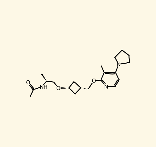 CC(=O)N[C@@H](C)CO[C@H]1C[C@H](COc2nccc(N3CCCC3)c2C)C1